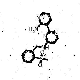 CS(=O)(=O)c1ccccc1CNc1ccnc(-c2cccnc2N)n1